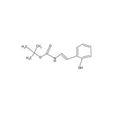 CC(C)(C)OC(=O)NC=Cc1ccccc1O